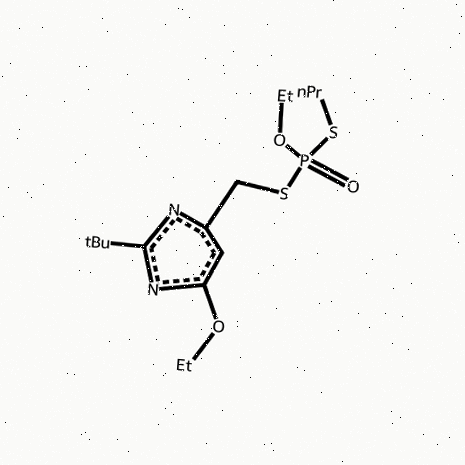 CCCSP(=O)(OCC)SCc1cc(OCC)nc(C(C)(C)C)n1